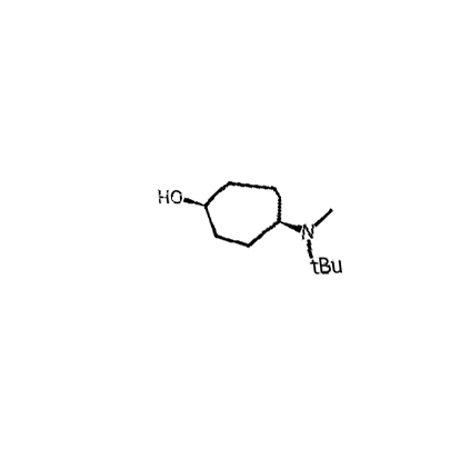 CN([C@H]1CC[C@@H](O)CC1)C(C)(C)C